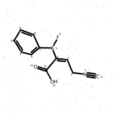 [C-]#[N+]CC=C(B(F)c1ccccc1)C(=O)O